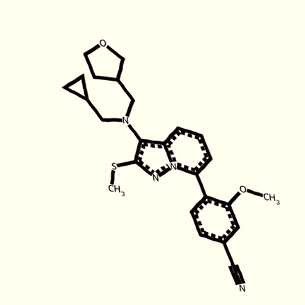 COc1cc(C#N)ccc1-c1cccc2c(N(CC3CC3)CC3CCOC3)c(SC)nn12